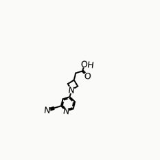 N#Cc1cc(N2CC(CC(=O)O)C2)ccn1